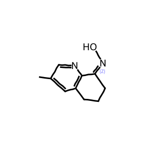 Cc1cnc2c(c1)CCC/C2=N/O